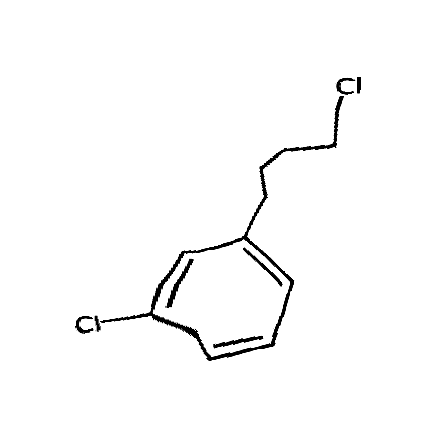 ClCCc1cccc(Cl)c1